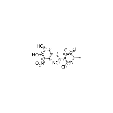 Cc1nc(Cl)c(/C(C#N)=C/c2cc(O)c(O)c([N+](=O)[O-])c2)c(C)c1Cl